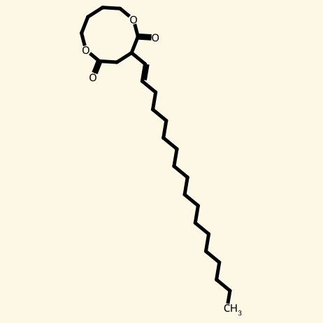 CCCCCCCCCCCCCCCCC=CC1CC(=O)OCCCCOC1=O